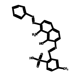 Cc1ccc(S(=O)(=O)O)c(N=Nc2ccc3ccc(N=Nc4ccccc4)c(N)c3c2O)c1